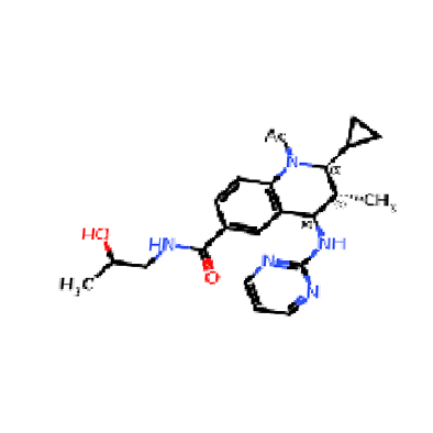 CC(=O)N1c2ccc(C(=O)NCC(C)O)cc2[C@H](Nc2ncccn2)[C@@H](C)[C@@H]1C1CC1